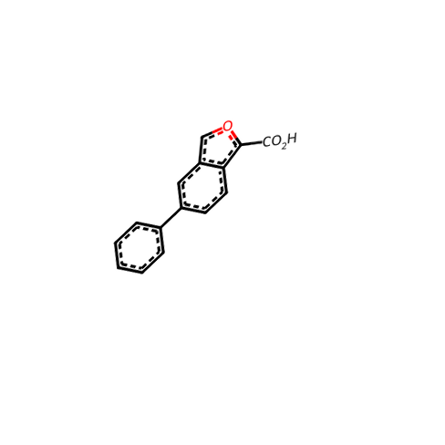 O=C(O)c1occ2cc(-c3ccccc3)ccc12